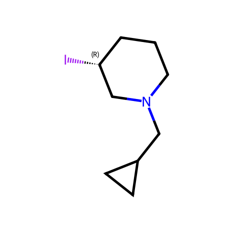 I[C@@H]1CCCN(CC2CC2)C1